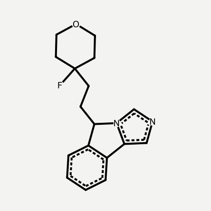 FC1(CCC2c3ccccc3-c3cncn32)CCOCC1